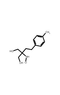 Cc1ccc(CCC(CO)(CO)NCl)cc1